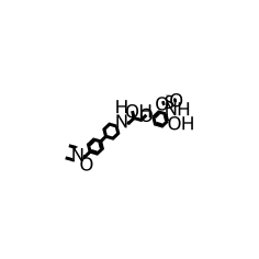 CCN(CC)C(=O)c1ccc(C2CCC(NCC(O)COc3ccc(O)c(NS(C)(=O)=O)c3)CC2)cc1